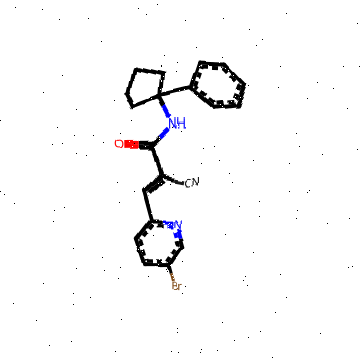 N#C/C(=C\c1ccc(Br)cn1)C(=O)NC1(c2ccccc2)CCCC1